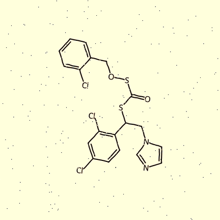 O=C(SOCc1ccccc1Cl)SC(Cn1ccnc1)c1ccc(Cl)cc1Cl